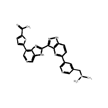 CC(=O)c1ccc(-c2cncc3[nH]c(-c4n[nH]c5ccc(-c6cncc(CN(C)C)c6)nc45)nc23)s1